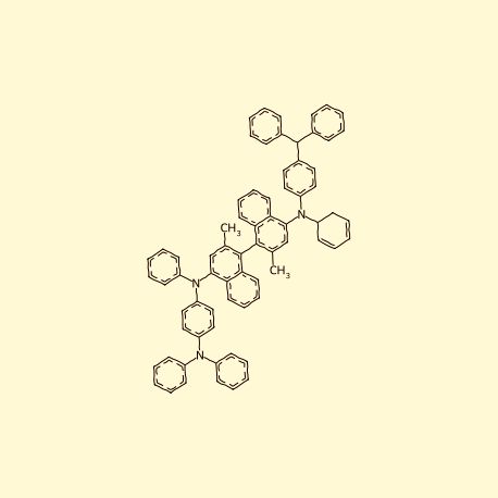 Cc1cc(N(c2ccccc2)c2ccc(N(c3ccccc3)c3ccccc3)cc2)c2ccccc2c1-c1c(C)cc(N(c2ccc(C(c3ccccc3)c3ccccc3)cc2)C2C=CC=CC2)c2ccccc12